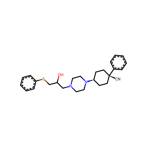 N#C[C@]1(c2ccccc2)CC[C@H](N2CCN(CC(O)CSc3ccccc3)CC2)CC1